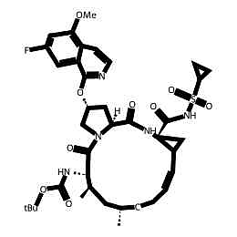 COc1cc(F)cc2c(O[C@@H]3C[C@H]4C(=O)N[C@]5(C(=O)NS(=O)(=O)C6CC6)CC5/C=C\CC[C@H](C)C[C@@H](C)[C@H](NC(=O)OC(C)(C)C)C(=O)N4C3)nccc12